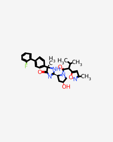 Cc1cc(C(C(=O)N2C[C@H](O)C[C@H]2C2=NC(=O)[C@](C)(c3ccc(-c4ccccc4F)cc3)N2)C(C)C)on1